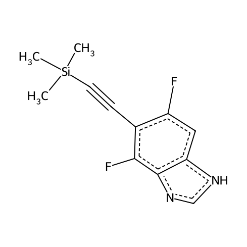 C[Si](C)(C)C#Cc1c(F)cc2[nH]cnc2c1F